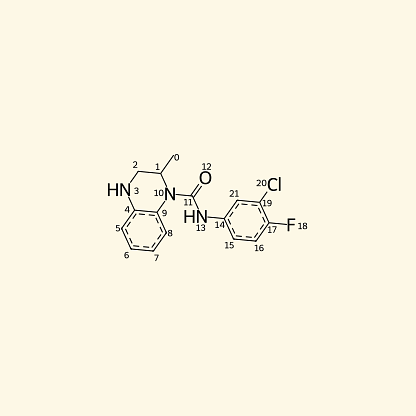 CC1CNc2ccccc2N1C(=O)Nc1ccc(F)c(Cl)c1